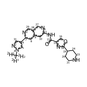 [2H]C([2H])([2H])n1cc(-c2cc3cc(NC(=O)c4coc(C5CCNCC5)n4)ncc3cn2)cn1